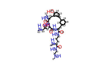 CNCCNC(=O)[C@H](CCCNC(=O)[C@@H]1Cc2cccc(c2)-c2ccc(O)c(c2)C[C@H](NC)C(=O)N[C@@H](C[C@@H](O)CNC)C(=O)N1)NC